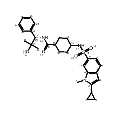 Cn1c(C2CC2)cc2ccc(S(=O)(=O)NC3CCC(C(=O)N[C@@H](c4ccccc4)C(C)(C)O)CC3)cc21